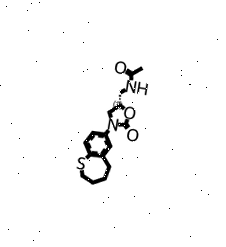 CC(=O)NC[C@H]1CN(c2ccc3c(c2)CCCCS3)C(=O)O1